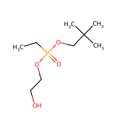 CCP(=O)(OCCO)OCC(C)(C)C